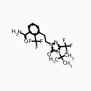 CC(C)(C)n1c(C(F)(F)F)nn(CCc2cccc(C(N)=O)c2C(F)(F)F)c1=O